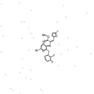 Cc1ccc(/C=C(/N=c2\[nH]cc(Br)nc2Cc2cccc(F)c2F)C(=O)OC(C)(C)C)o1